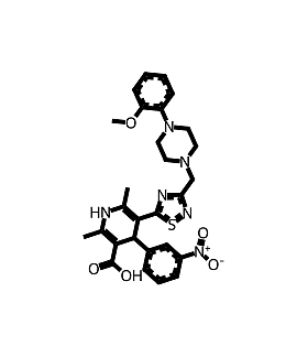 COc1ccccc1N1CCN(Cc2nsc(C3=C(C)NC(C)=C(C(=O)O)C3c3cccc([N+](=O)[O-])c3)n2)CC1